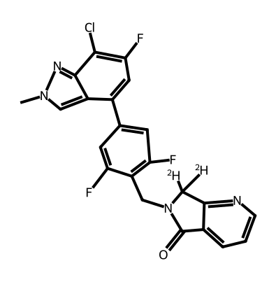 [2H]C1([2H])c2ncccc2C(=O)N1Cc1c(F)cc(-c2cc(F)c(Cl)c3nn(C)cc23)cc1F